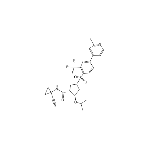 Cc1cc(-c2ccc(S(=O)(=O)C3C[C@@H](OC(C)C)[C@H](C(=O)NC4(C#N)CC4)C3)c(C(F)(F)F)c2)ccn1